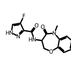 CN1C(=O)C(NC(=O)c2n[nH]cc2F)COc2ccccc21